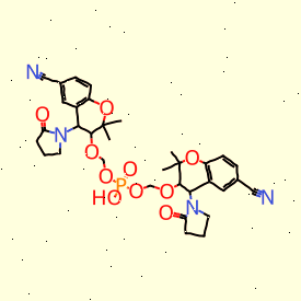 CC1(C)Oc2ccc(C#N)cc2C(N2CCCC2=O)C1OCOP(=O)(O)OCOC1C(N2CCCC2=O)c2cc(C#N)ccc2OC1(C)C